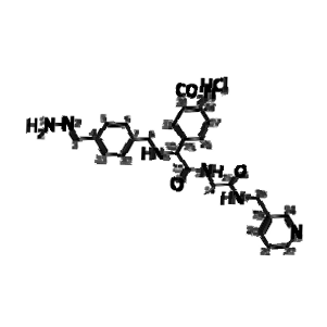 Cl.NN=Cc1ccc(CNC(C(=O)NCC(=O)NCc2cccnc2)c2ccc(C(=O)O)cc2)cc1